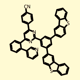 N#Cc1ccc(-c2cc(-c3ccccc3-c3cccnc3)nc(-c3cc(-c4ccc5sc6ccccc6c5c4)cc(-c4ccc5sc6ccccc6c5c4)c3)n2)cc1